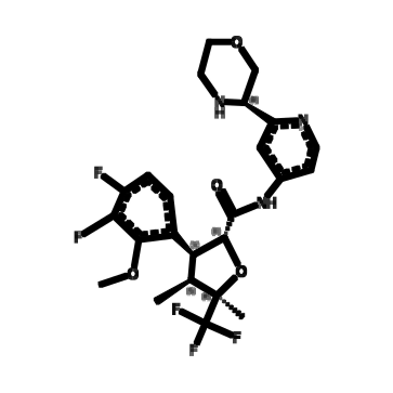 COc1c([C@H]2[C@H](C(=O)Nc3ccnc([C@@H]4COCCN4)c3)O[C@@](C)(C(F)(F)F)[C@H]2C)ccc(F)c1F